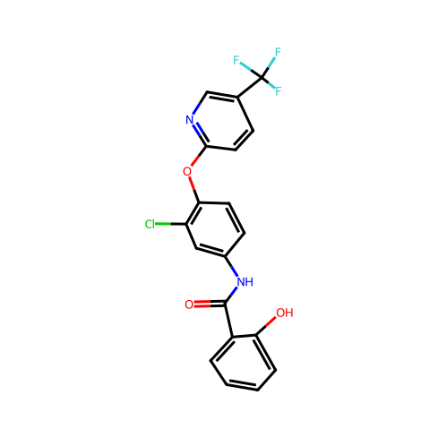 O=C(Nc1ccc(Oc2ccc(C(F)(F)F)cn2)c(Cl)c1)c1ccccc1O